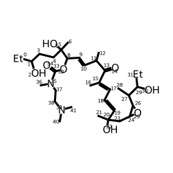 CCC(O)CCC(C)(O)C(/C=C/C(C)C(=O)/C(C)=C/C=C/C(C)(O)CC1OC1C(C)C(O)CC)OC(=O)N(C)CCN(C)C